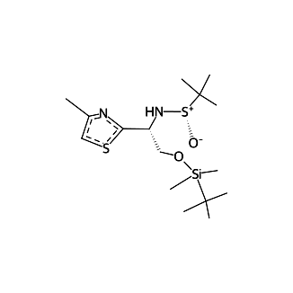 Cc1csc([C@@H](CO[Si](C)(C)C(C)(C)C)N[S@@+]([O-])C(C)(C)C)n1